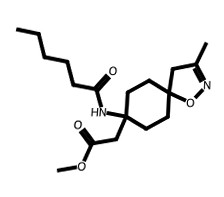 CCCCCC(=O)NC1(CC(=O)OC)CCC2(CC1)CC(C)=NO2